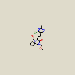 COCN1CC2(CCCC2)N(COC)C(CCc2cnc(C)nc2Cl)C1=O